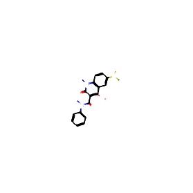 CN(C(=O)c1c(O)c2cc([S+](C)[O-])ccc2n(C)c1=O)c1ccccc1